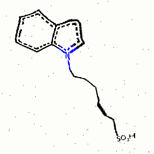 O=S(=O)(O)CCCCn1ccc2ccccc21